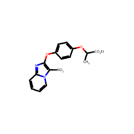 CCOC(=O)C(C)Oc1ccc(Oc2nc3ccccn3c2[N+](=O)[O-])cc1